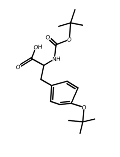 CC(C)(C)OC(=O)NC(Cc1ccc(OC(C)(C)C)cc1)C(=O)O